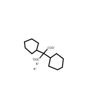 O=C([O-])C(C(=O)[O-])(C1CCCCC1)C1CCCCC1.[K+].[K+]